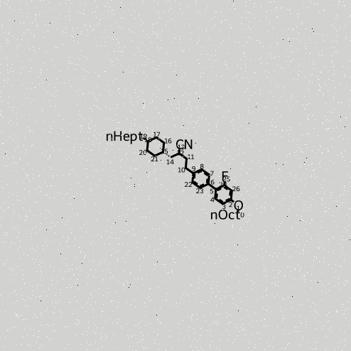 CCCCCCCCOc1ccc(-c2ccc(CCC(C#N)C[C@H]3CC[C@H](CCCCCCC)CC3)cc2)c(F)c1